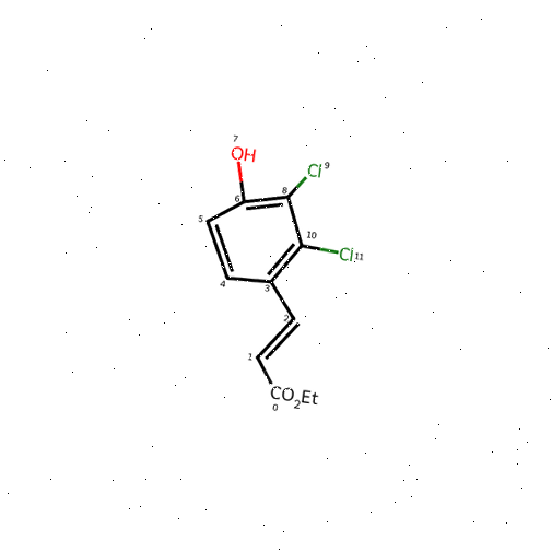 CCOC(=O)/C=C/c1ccc(O)c(Cl)c1Cl